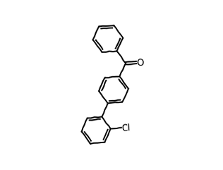 O=C(c1ccccc1)c1ccc(-c2ccccc2Cl)cc1